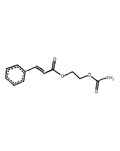 CC(=O)OCCOC(=O)C=Cc1ccccc1